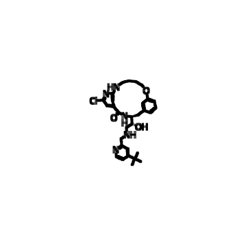 CC(C)(C)c1ccnc(CNC[C@@H](O)[C@@H]2Cc3cccc(c3)OCCCCNc3cc(cc(Cl)n3)C(=O)N2)c1